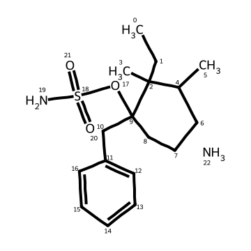 CCC1(C)C(C)CCCC1(Cc1ccccc1)OS(N)(=O)=O.N